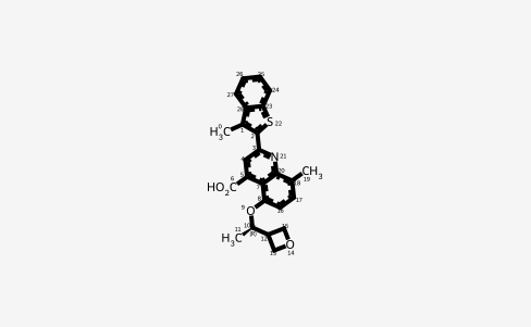 Cc1c(-c2cc(C(=O)O)c3c(O[C@H](C)C4COC4)ccc(C)c3n2)sc2ccccc12